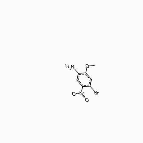 COc1cc(Br)c([N+](=O)[O-])cc1N